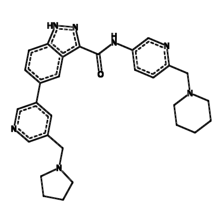 O=C(Nc1ccc(CN2CCCCC2)nc1)c1n[nH]c2ccc(-c3cncc(CN4CCCC4)c3)cc12